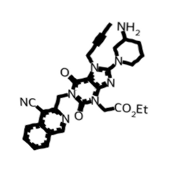 CC#CCn1c(N2CCCC(N)C2)nc2c1c(=O)n(Cc1ncc3ccccc3c1C#N)c(=O)n2CC(=O)OCC